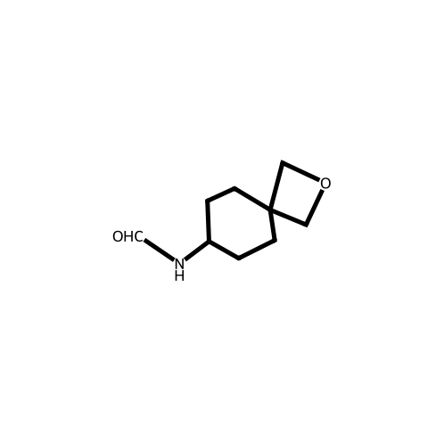 O=CNC1CCC2(CC1)COC2